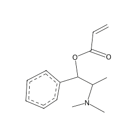 C=CC(=O)OC(c1ccccc1)C(C)N(C)C